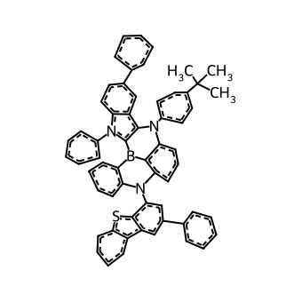 CC(C)(C)c1ccc(N2c3cccc4c3B(c3ccccc3N4c3cc(-c4ccccc4)cc4c3sc3ccccc34)c3c2c2cc(-c4ccccc4)ccc2n3-c2ccccc2)cc1